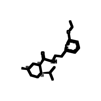 CCOc1cccc(CCNC(=O)[C@@H]2C[C@H](C)CC[C@H]2C(C)C)c1